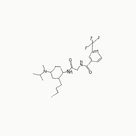 CCCCC1CC(N(C)C(C)C)CCC1NC(=O)CNC(=O)c1cccc(C(F)(F)F)c1